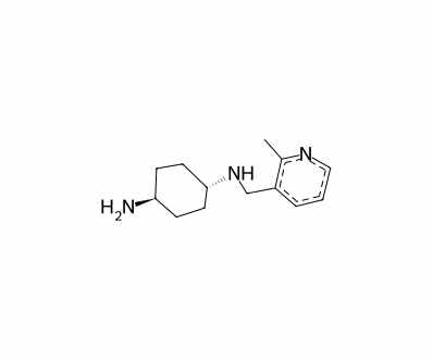 Cc1ncccc1CN[C@H]1CC[C@H](N)CC1